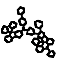 c1ccc(-c2ccc(N(c3ccc(-c4cc5c(cc4-c4ccccc4)-c4cccc6c4C5(c4ccccc4)c4ccccc4N6c4ccccc4)cc3)c3ccc4c(c3)C(c3ccccc3)(c3ccccc3)c3ccccc3-4)cc2)cc1